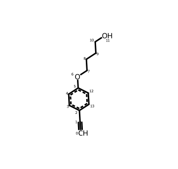 C#Cc1ccc(OCCCCO)cc1